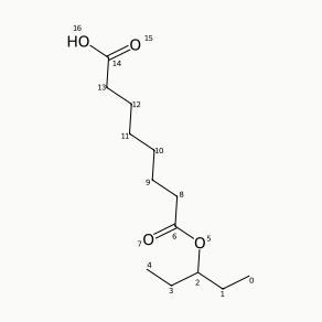 CCC(CC)OC(=O)CCCCCCC(=O)O